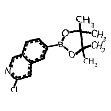 CC1(C)OB(c2ccc3cnc(Cl)cc3c2)OC1(C)C